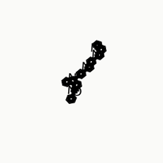 c1ccc(-c2nc3c(ccc4c(-c5ccc(-c6ccc7cc(-c8ccc9ccc%10cccnc%10c9n8)ccc7n6)cc5)nc5ccccc5c43)o2)cc1